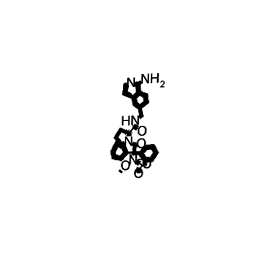 COc1ccccc1[C@@](N=S(=O)=O)(C(=O)N1CCC[C@H]1C(=O)NCc1ccc2c(N)nccc2c1)c1ccccc1